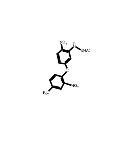 CC(=O)NNc1cc(Oc2ccc(C(F)(F)F)cc2[N+](=O)[O-])ccc1[N+](=O)[O-]